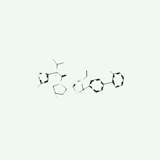 CCN1N=C([C@@H]2C[C@@H](O)CN2C(=O)[C@@H](c2cc(C)no2)C(C)C)N[C@@]1(C)c1ccc(-c2ccccc2F)cc1